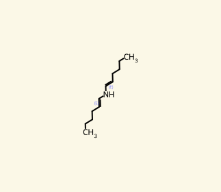 CCCC/C=C/N/C=C/CCCC